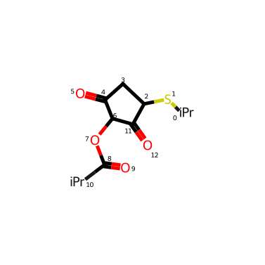 CC(C)SC1CC(=O)C(OC(=O)C(C)C)C1=O